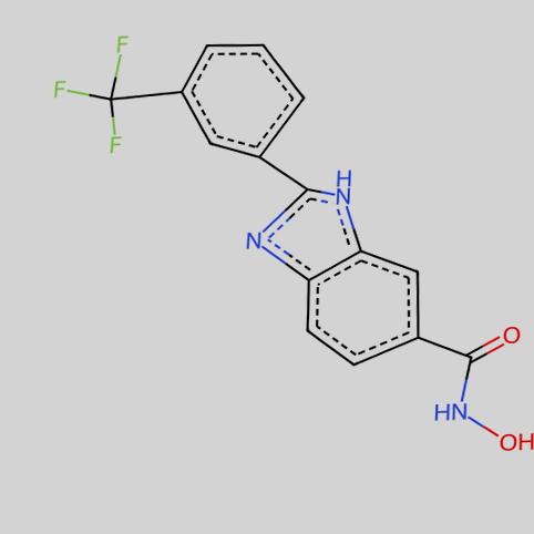 O=C(NO)c1ccc2nc(-c3cccc(C(F)(F)F)c3)[nH]c2c1